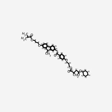 C=C(C)C(=O)OCCCOc1ccc2c(c1)C(C)c1cc(SC(=O)c3ccc(OCCCOC(=O)C(=C)CC(=O)OC4CCCCC4)cc3)ccc1-2